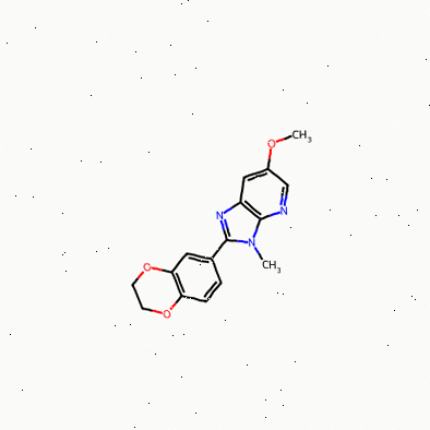 COc1cnc2c(c1)nc(-c1ccc3c(c1)OCCO3)n2C